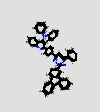 c1ccc(-c2cc(-c3ccc(-c4nc5ccccc5c5c4c4ccccc4n5-c4ccccc4)cc3)nc(-c3ccc4c5ccccc5c5ccccc5c4c3)n2)cc1